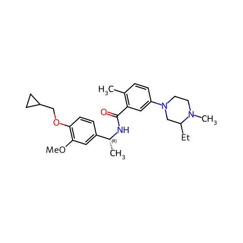 CCC1CN(c2ccc(C)c(C(=O)N[C@H](C)c3ccc(OCC4CC4)c(OC)c3)c2)CCN1C